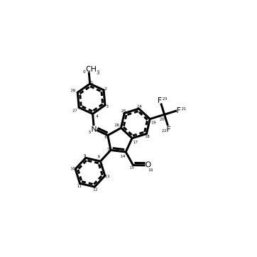 Cc1ccc(/N=C2/C(c3ccccc3)=C(C=O)c3cc(C(F)(F)F)ccc32)cc1